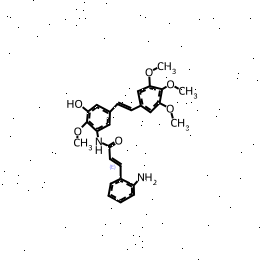 COc1cc(C=Cc2cc(O)c(OC)c(NC(=O)/C=C/c3ccccc3N)c2)cc(OC)c1OC